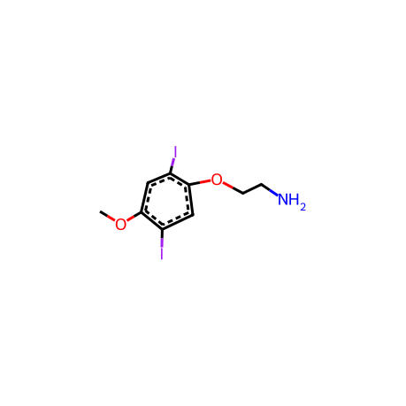 COc1cc(I)c(OCCN)cc1I